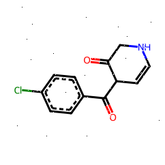 O=C1CNC=CC1C(=O)c1ccc(Cl)cc1